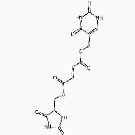 C=C1NC=C(COC(=O)/C=C/C(=O)OCC2NC(=O)NC2=O)C(=O)N1